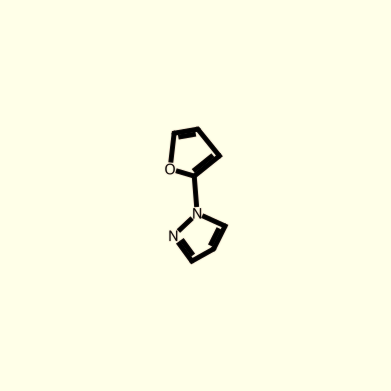 c1coc(-n2cccn2)c1